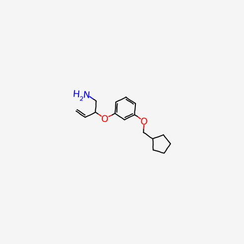 C=CC(CN)Oc1cccc(OCC2CCCC2)c1